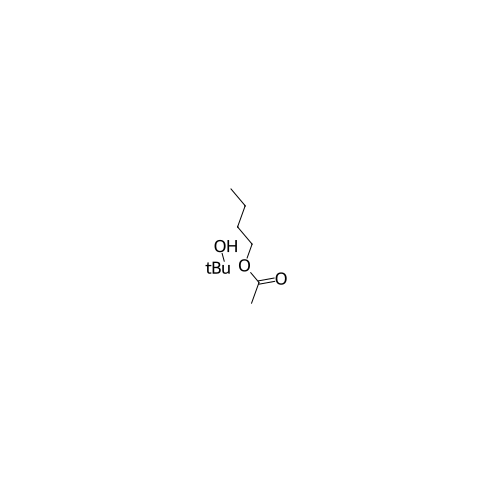 CC(C)(C)O.CCCCOC(C)=O